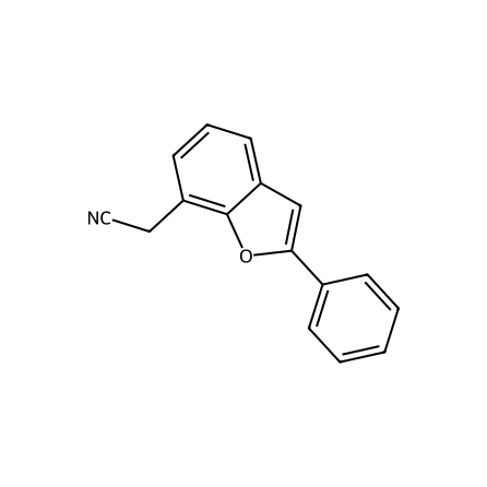 N#CCc1cccc2cc(-c3ccccc3)oc12